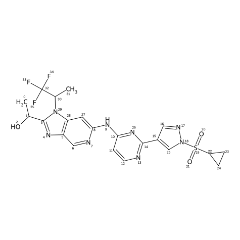 CC(O)c1nc2cnc(Nc3ccnc(-c4cnn(S(=O)(=O)C5CC5)c4)n3)cc2n1C(C)C(F)(F)F